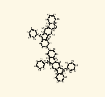 c1ccc(-n2c3ccc(-c4ccc5c6cc7c(cc6n(-c6ccccc6)c5c4)c4ccccc4n7-c4ccccc4)cc3c3cc4oc5ccccc5c4cc32)cc1